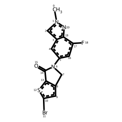 Cn1cc2cc(N3Cc4cc(Br)sc4C3=O)cc(F)c2n1